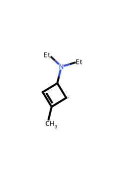 CCN(CC)C1[CH]C(C)=C1